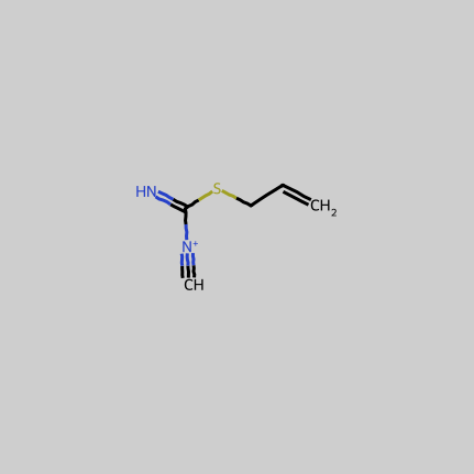 C#[N+]C(=N)SCC=C